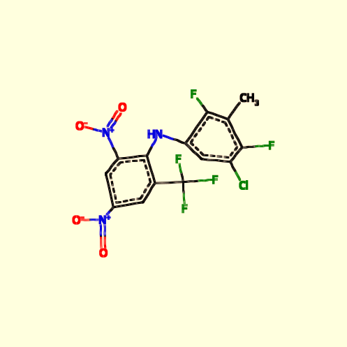 Cc1c(F)c(Cl)cc(Nc2c([N+](=O)[O-])cc([N+](=O)[O-])cc2C(F)(F)F)c1F